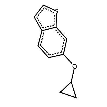 c1cc2ccc(OC3CC3)cc2s1